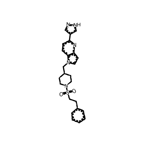 O=S(=O)(CCc1ccccc1)N1CCC(Cn2ccc3nc(-c4cn[nH]c4)ccc32)CC1